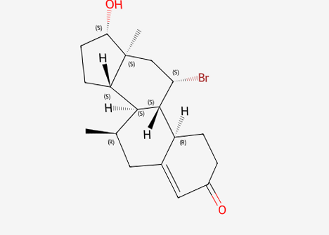 C[C@@H]1CC2=CC(=O)CC[C@@H]2[C@@H]2[C@@H]1[C@@H]1CC[C@H](O)[C@@]1(C)C[C@@H]2Br